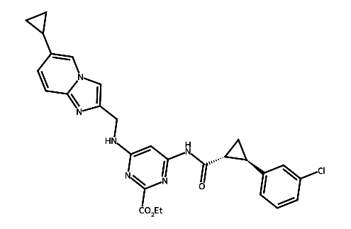 CCOC(=O)c1nc(NCc2cn3cc(C4CC4)ccc3n2)cc(NC(=O)[C@@H]2C[C@H]2c2cccc(Cl)c2)n1